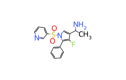 CC(N)c1cn(S(=O)(=O)c2cccnc2)c(-c2ccccc2)c1F